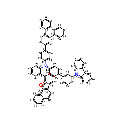 c1ccc(-c2ccc(-c3ccc(N(c4ccc(-c5cccc(-n6c7ccccc7c7ccccc76)c5)cc4)c4ccccc4-c4cccc5c4oc4c6ccccc6ccc54)cc3)cc2-c2ccccc2)cc1